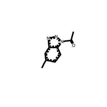 CC(=O)n1nnc2cc(C)ccc21